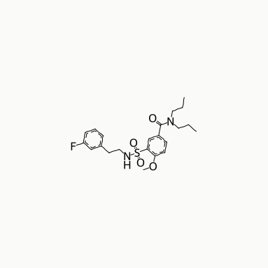 CCCN(CCC)C(=O)c1ccc(OC)c(S(=O)(=O)NCCc2cccc(F)c2)c1